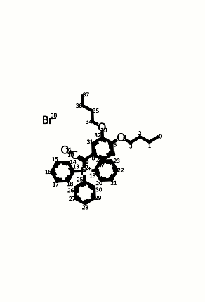 CCCCOc1ccc(C(=C=O)[P+](c2ccccc2)(c2ccccc2)c2ccccc2)cc1OCCCC.[Br-]